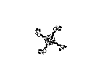 C=C[Si](C)(C=C)CCCC[Si]1(C)O[Si](C)(CCCO[Si](C)(C=C)C=C)O[Si](C)(CCCO[Si](C)(C=C)C=C)O[Si](C)(CCCO[Si](C)(C=C)C=C)O1